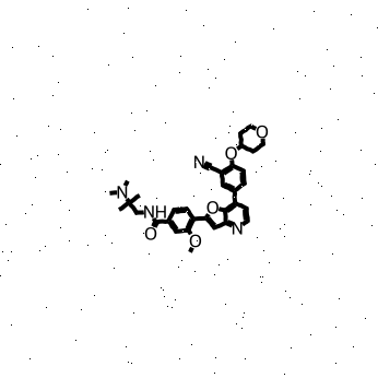 COc1cc(C(=O)NCC(C)(C)N(C)C)ccc1-c1cc2nccc(-c3ccc(OC4CCOCC4)c(C#N)c3)c2o1